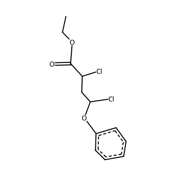 CCOC(=O)C(Cl)CC(Cl)Oc1ccccc1